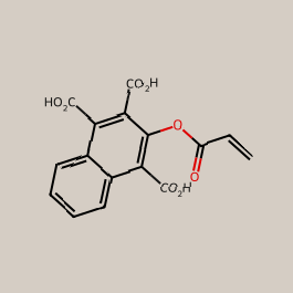 C=CC(=O)Oc1c(C(=O)O)c(C(=O)O)c2ccccc2c1C(=O)O